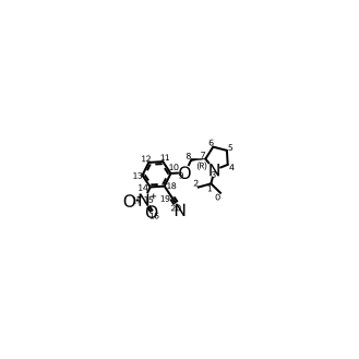 CC(C)N1CCC[C@@H]1COc1cccc([N+](=O)[O-])c1C#N